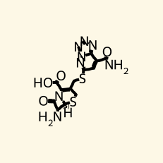 NC(=O)c1cc(SCC2=C(C(=O)O)N3C(=O)C(N)[C@@H]3SC2)nn2nnnc12